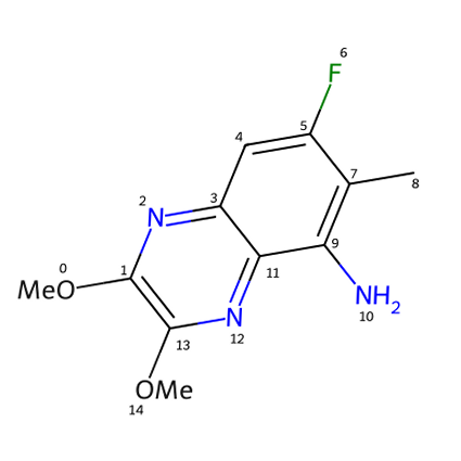 COc1nc2cc(F)c(C)c(N)c2nc1OC